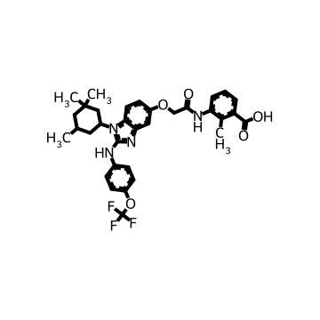 Cc1c(NC(=O)COc2ccc3c(c2)nc(Nc2ccc(OC(F)(F)F)cc2)n3C2CC(C)CC(C)(C)C2)cccc1C(=O)O